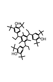 CCC(c1cc(C(C)(C)C)c(O)c(C(C)(C)C)c1)c1c(C)c(C(CC)c2cc(C(C)(C)C)c(O)c(C(C)(C)C)c2)c(C)c(C(CC)c2cc(C(C)(C)C)c(O)c(C(C)(C)C)c2)c1C